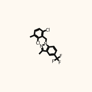 Cc1ccc(Cl)c(Cn2nc(C)c3cc(C(F)(F)F)ccc32)c1Cl